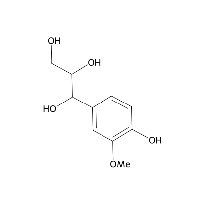 COc1cc(C(O)C(O)CO)ccc1O